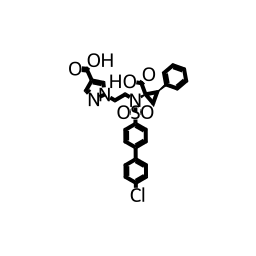 O=C(O)c1cnn(CCN([C@]2(C(=O)O)C[C@@H]2c2ccccc2)S(=O)(=O)c2ccc(-c3ccc(Cl)cc3)cc2)c1